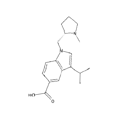 CC(C)c1cn(C[C@@H]2CCCN2C)c2ccc(C(=O)O)cc12